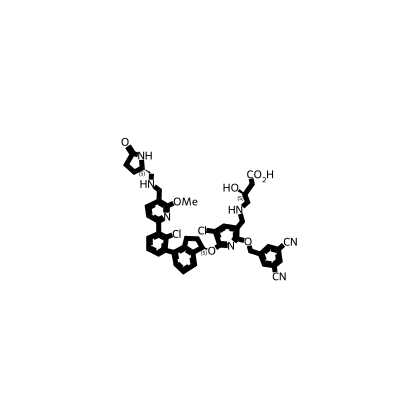 COc1nc(-c2cccc(-c3cccc4c3CC[C@@H]4Oc3nc(OCc4cc(C#N)cc(C#N)c4)c(CNC[C@@H](O)CC(=O)O)cc3Cl)c2Cl)ccc1CNC[C@@H]1CCC(=O)N1